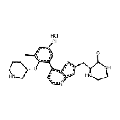 Cc1cc(Cl)cc(-c2ccnc3cc(CC4NCCNC4=O)sc23)c1O[C@H]1CCCNC1.Cl